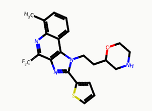 Cc1cccc2c1nc(C(F)(F)F)c1nc(-c3cccs3)n(CCC3CNCCO3)c12